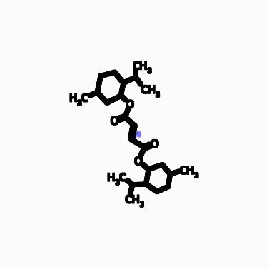 CC1CCC(C(C)C)C(OC(=O)/C=C/C(=O)OC2CC(C)CCC2C(C)C)C1